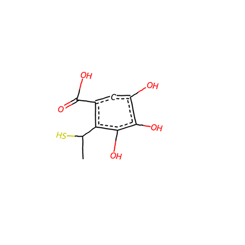 CC(S)c1c(C(=O)O)cc(O)c(O)c1O